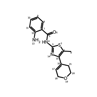 Cc1sc(NC(=O)c2ccccc2N)nc1C1=CCOCC1